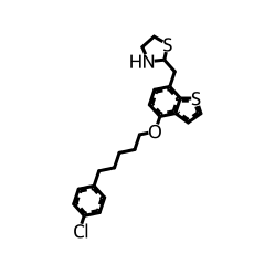 Clc1ccc(CCCCCOc2ccc(CC3NCCS3)c3sccc23)cc1